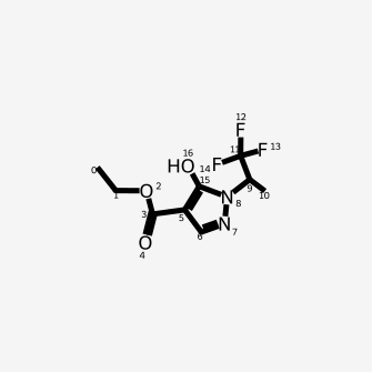 CCOC(=O)c1cnn(C(C)C(F)(F)F)c1O